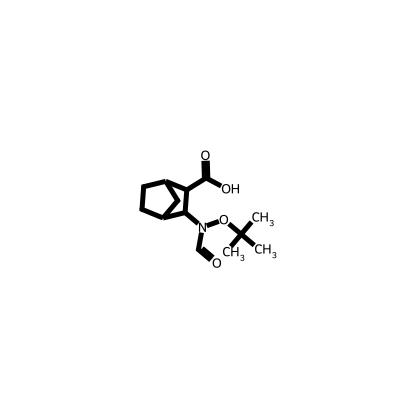 CC(C)(C)ON(C=O)C1C2CCC(C2)C1C(=O)O